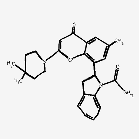 Cc1cc(C2Cc3ccccc3N2C(N)=O)c2oc(N3CCC(C)(C)CC3)cc(=O)c2c1